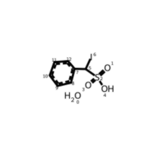 O.O=S(=O)(O)C(I)c1ccccc1